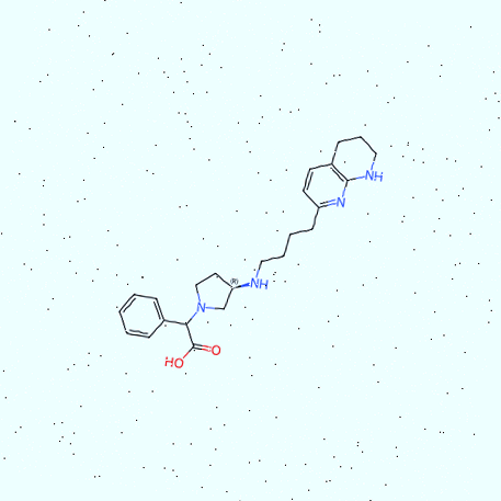 O=C(O)C(c1ccccc1)N1CC[C@@H](NCCCCc2ccc3c(n2)NCCC3)C1